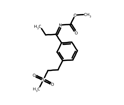 CC/C(=N/C(=O)OC)c1cccc(CCS(C)(=O)=O)c1